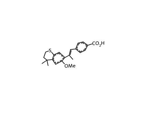 COc1cc2c(cc1/C(C)=C/c1ccc(C(=O)O)cc1)SCCC2(C)C